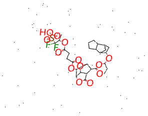 CCC(OC(=O)C1C2OC3C(OC(=O)C31)C2OC(=O)CCC(=O)OC(C)C(F)(F)S(=O)(=O)O)OC1CC2CC1C1CCCC21